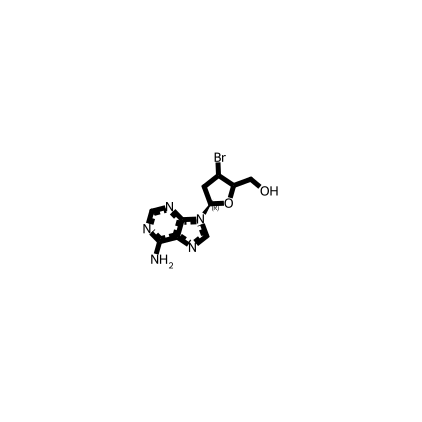 Nc1ncnc2c1ncn2[C@H]1CC(Br)C(CO)O1